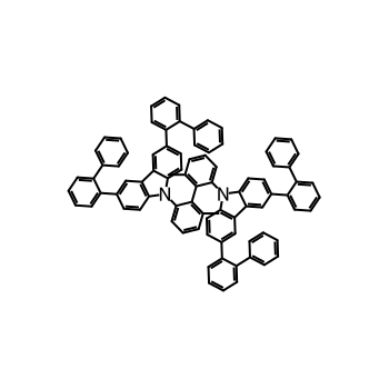 Cc1cccc(-n2c3ccc(-c4ccccc4-c4ccccc4)cc3c3cc(-c4ccccc4-c4ccccc4)ccc32)c1-c1c(C)cccc1-n1c2ccc(-c3ccccc3-c3ccccc3)cc2c2cc(-c3ccccc3-c3ccccc3)ccc21